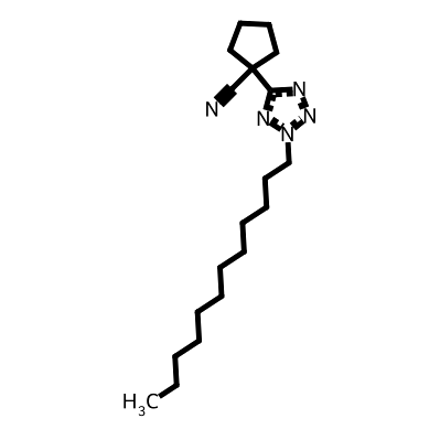 CCCCCCCCCCCCn1nnc(C2(C#N)CCCC2)n1